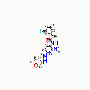 CN(C)c1nc(NCC2CCOCC2)ccc1NC(=O)Cc1cc(F)cc(F)c1